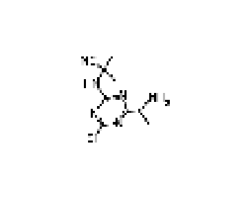 CC(N)c1nc(Cl)nc(NC(C)(C)C#N)n1